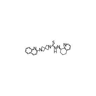 S=C(N/N=C1\CCCc2cccnc21)N1CC2(C1)CN(c1ccc3ccccc3n1)C2